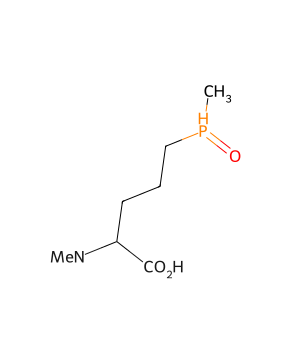 CNC(CCC[PH](C)=O)C(=O)O